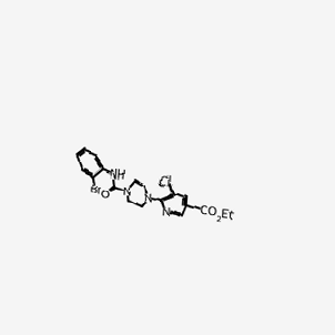 CCOC(=O)c1cnc(N2CCN(C(=O)Nc3ccccc3Br)CC2)c(Cl)c1